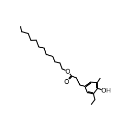 CCCCCCCCCCCCOC(=O)CCc1cc(C)c(O)c(CC)c1